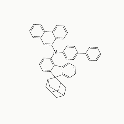 c1ccc(-c2ccc(N(c3cccc4c3-c3ccccc3C43C4CC5CC(C4)CC3C5)c3cc4ccccc4c4ccccc34)cc2)cc1